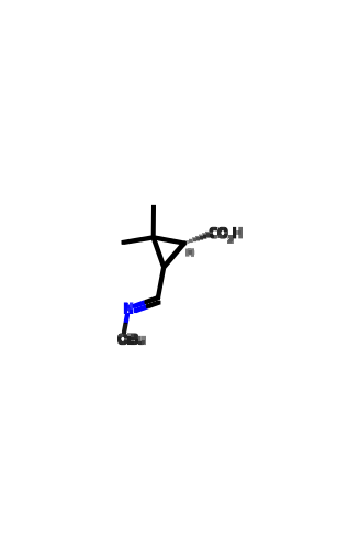 CC(C)CON=CC1[C@@H](C(=O)O)C1(C)C